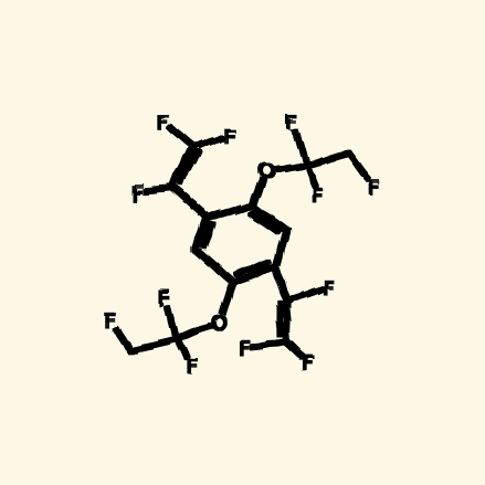 FCC(F)(F)Oc1cc(C(F)=C(F)F)c(OC(F)(F)CF)cc1C(F)=C(F)F